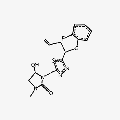 C=CCC(Oc1ccccc1F)c1nnc(N2C(=O)N(C)CC2O)s1